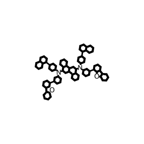 c1cc(-c2cccc3c2oc2ccccc23)cc(N(c2ccc(-c3cccc4ccccc34)cc2)c2cc3c4ccccc4c(N(c4ccc(-c5cccc6ccccc56)cc4)c4cccc(-c5cccc6c5oc5ccccc56)c4)cc3c3ccccc23)c1